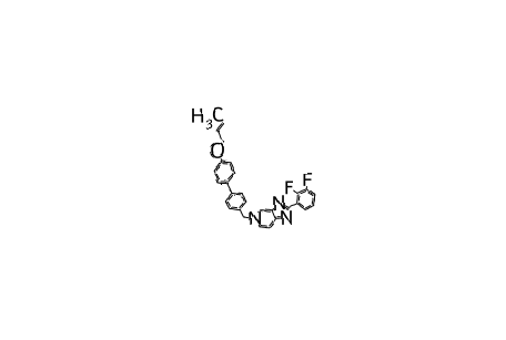 C/C=C/COc1ccc(-c2ccc(Cn3ccc4nc(-c5cccc(F)c5F)nc-4c3)cc2)cc1